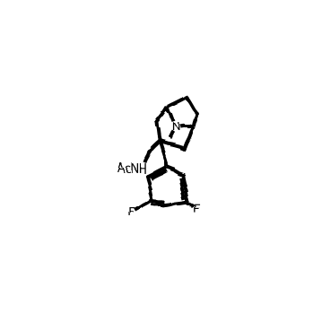 CC(=O)NCC1(c2cc(F)cc(F)c2)CC2CCC(C1)N2C